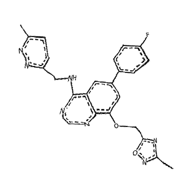 Cc1ccc(CNc2ncnc3c(OCc4nc(C)no4)cc(-c4ccc(F)cc4)cc23)nn1